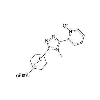 CCCCCC12CCC(c3nnc(-c4cccc[n+]4[O-])n3C)(CC1)CC2